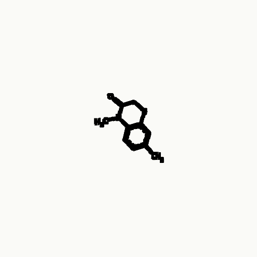 Cc1ccc2c(c1)SCC(=O)N2C